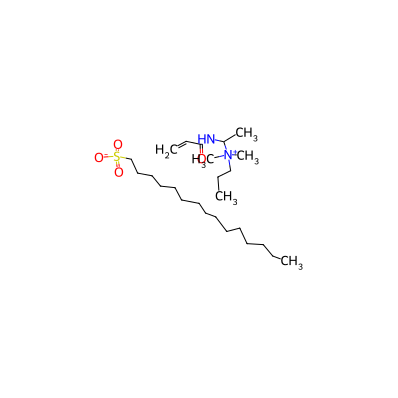 C=CC(=O)NC(C)[N+](C)(C)CCC.CCCCCCCCCCCCCCCS(=O)(=O)[O-]